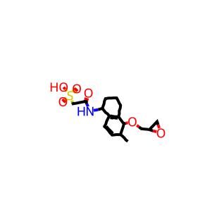 CC1C=CC2=C(CCCC2NC(=O)CS(=O)(=O)O)C1OCC1CO1